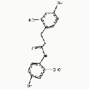 O=Cc1cc(O)ccc1NC(=O)CCc1ccc(O)cc1O